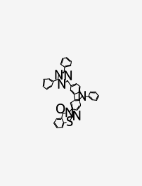 O=c1c2ccccc2sc2nc3cc4c(cc3n12)c1cc(-c2nc(-c3ccccc3)nc(-c3ccccc3)n2)ccc1n4-c1ccccc1